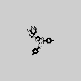 COC(=O)c1ncn([C@H]2C[C@H](OC(=O)c3ccc(C)cc3)[C@@H](COC(=O)c3ccc(C)cc3)O2)c1CC#N